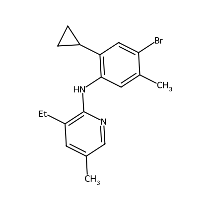 CCc1cc(C)cnc1Nc1cc(C)c(Br)cc1C1CC1